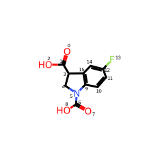 O=C(O)C1CN(C(=O)O)c2ccc(F)cc21